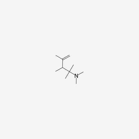 C=C(C)C(C)C(C)(C)N(C)C